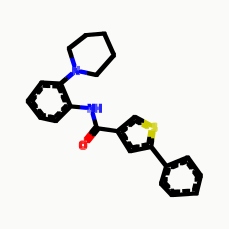 O=C(Nc1ccccc1N1CCCCC1)c1csc(-c2ccccc2)c1